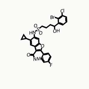 CNC(=O)c1c(-c2ccc(F)cc2)oc2cc(NS(=O)(=O)CCCC(O)c3cccc(Cl)c3Br)c(C3CC3)cc12